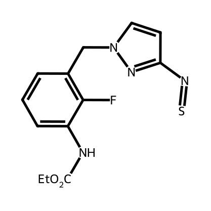 CCOC(=O)Nc1cccc(Cn2ccc(N=S)n2)c1F